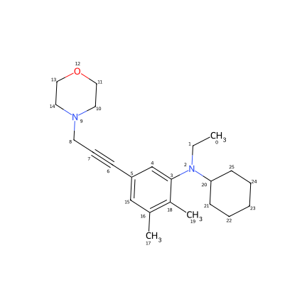 CCN(c1cc(C#CCN2CCOCC2)cc(C)c1C)C1CCCCC1